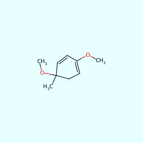 COC1=C[CH]C(C)(OC)C=C1